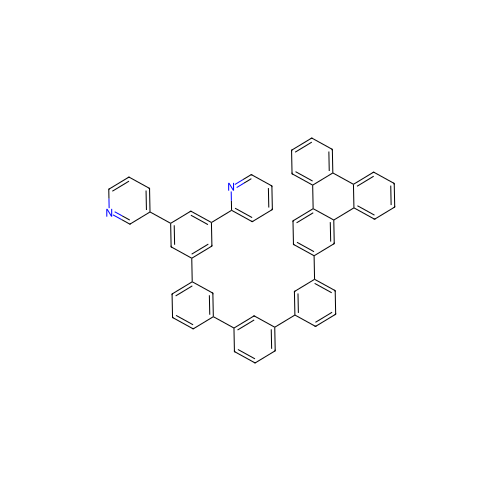 c1ccc(-c2cc(-c3cccnc3)cc(-c3cccc(-c4cccc(-c5cccc(-c6ccc7c8ccccc8c8ccccc8c7c6)c5)c4)c3)c2)nc1